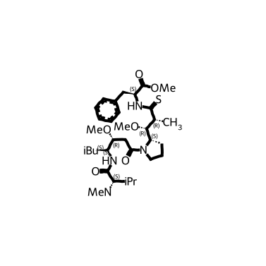 CC[C@H](C)[C@H](NC(=O)[C@@H](NC)C(C)C)[C@@H](CC(=O)N1CCC[C@H]1[C@H](OC)[C@@H](C)C(=S)N[C@@H](Cc1ccccc1)C(=O)OC)OC